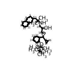 CC(C)(Cc1ccc2ccccc2c1)NC[C@@H](O)COC(c1ccccc1O[Si](C)(C)C(C)(C)C)C1CC1